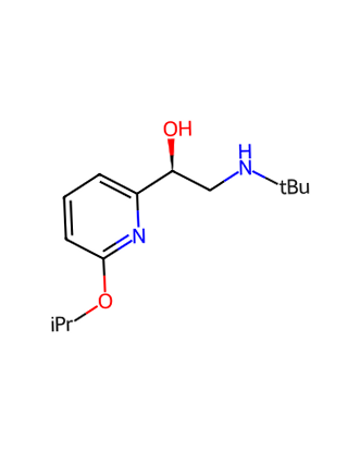 CC(C)Oc1cccc([C@@H](O)CNC(C)(C)C)n1